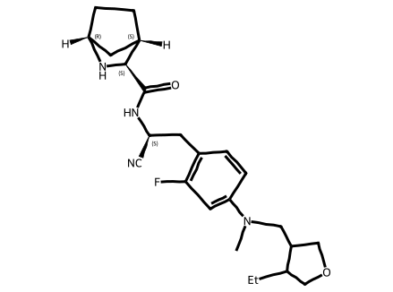 CCC1COCC1CN(C)c1ccc(C[C@@H](C#N)NC(=O)[C@H]2N[C@@H]3CC[C@H]2C3)c(F)c1